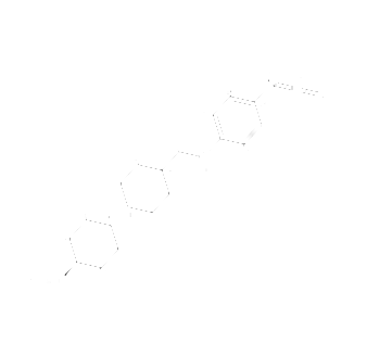 CCCCCCCC[C@H]1CC[C@H](C2CCC(COc3ccc(N=C=S)cc3)CC2)CC1